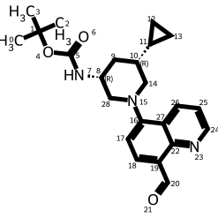 CC(C)(C)OC(=O)N[C@@H]1C[C@H](C2CC2)CN(c2ccc(C=O)c3ncccc23)C1